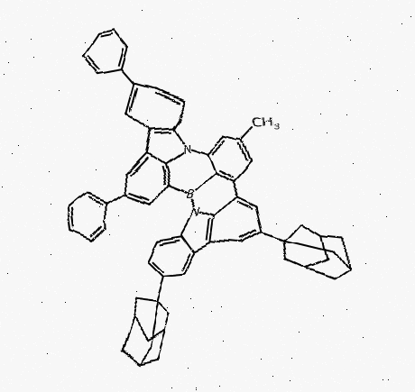 Cc1cc2c3c(c1)-n1c4ccc(-c5ccccc5)cc4c4cc(-c5ccccc5)cc(c41)B3n1c3ccc(C45CC6CC(CC(C6)C4)C5)cc3c3cc(C45CC6CC(CC(C6)C4)C5)cc-2c31